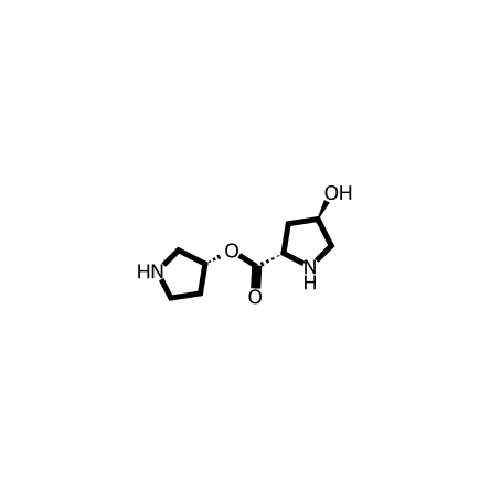 O=C(O[C@@H]1CCNC1)[C@@H]1C[C@@H](O)CN1